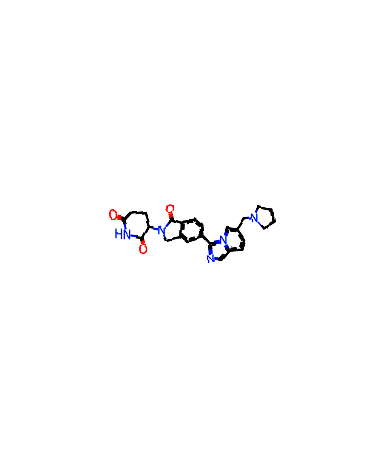 O=C1CCC(N2Cc3cc(-c4ncc5ccc(CN6CCCC6)cn45)ccc3C2=O)C(=O)N1